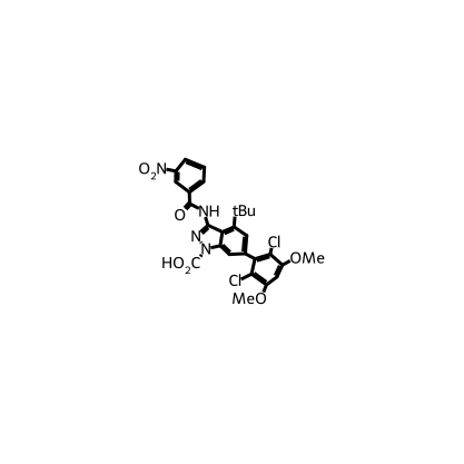 COc1cc(OC)c(Cl)c(-c2cc(C(C)(C)C)c3c(NC(=O)c4cccc([N+](=O)[O-])c4)nn(C(=O)O)c3c2)c1Cl